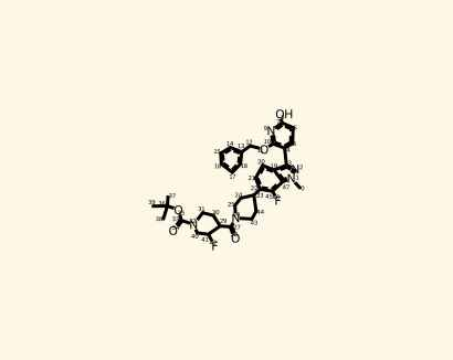 Cn1nc(-c2ccc(O)nc2OCc2ccccc2)c2ccc(C3CCN(C(=O)C4CCN(C(=O)OC(C)(C)C)CC4F)CC3)c(F)c21